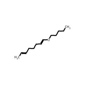 CC=CCCCC=COCCCCC